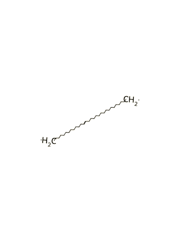 [CH2]CCCCCCCCCCCC=CCCCCCCCCCCCCCCC[CH2]